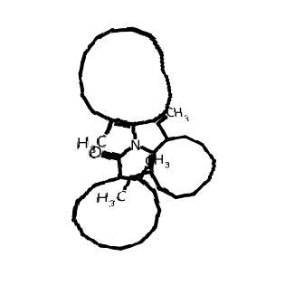 CC/C1=C(\N(C(=O)C2CCCCCCCCCCC2C)/C2=C(\C)CCCCCCCCCCCCC2)C(CC)CCCCCCC1